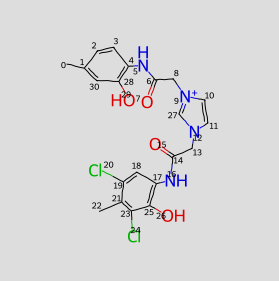 Cc1ccc(NC(=O)C[n+]2ccn(CC(=O)Nc3cc(Cl)c(C)c(Cl)c3O)c2)c(O)c1